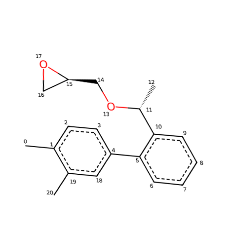 Cc1ccc(-c2ccccc2[C@@H](C)OC[C@H]2CO2)cc1C